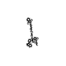 CCOC(=O)Cn1cc(N(CCOCCOCCOCCOCCN2C(=O)c3ccccc3C2=O)C(=O)[C@H]2CCCN(c3cncc4ccccc34)C2)ccc1=O